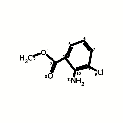 COC(=O)c1cccc(Cl)c1N